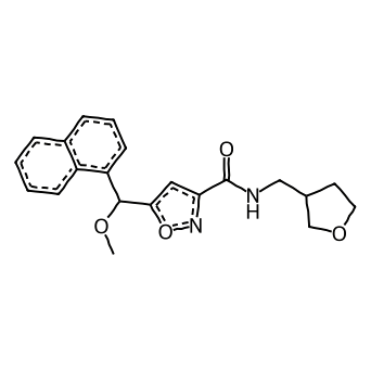 COC(c1cc(C(=O)NCC2CCOC2)no1)c1cccc2ccccc12